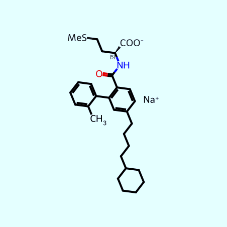 CSCC[C@H](NC(=O)c1ccc(CCCCC2CCCCC2)cc1-c1ccccc1C)C(=O)[O-].[Na+]